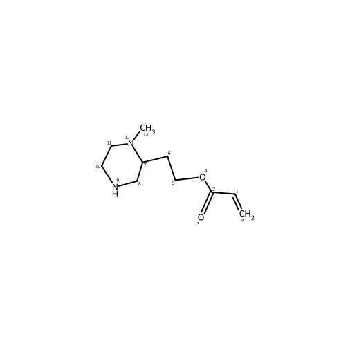 C=CC(=O)OCCC1CNCCN1C